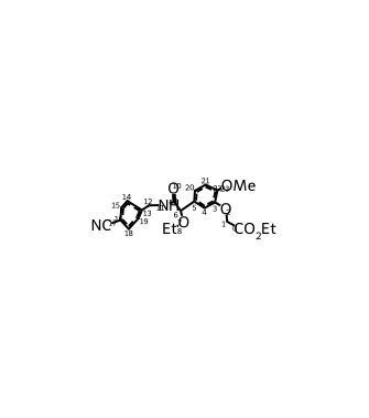 CCOC(=O)COc1cc(C(OCC)C(=O)NCc2ccc(C#N)cc2)ccc1OC